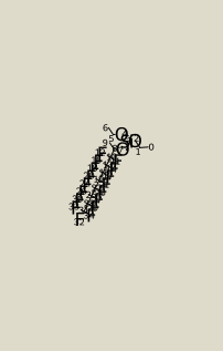 CCO[Si](OCC)OC(C)C(F)(F)C(F)(F)C(F)(F)C(F)(F)C(F)(F)C(F)(F)C(F)(F)C(F)(F)F